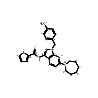 Cc1ccc(Cn2nc(NC(=O)c3cccs3)c3ccc(N4CCCCCC4)nc32)cc1